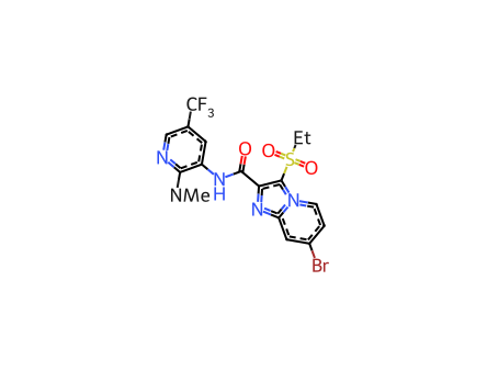 CCS(=O)(=O)c1c(C(=O)Nc2cc(C(F)(F)F)cnc2NC)nc2cc(Br)ccn12